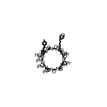 CC[C@@H]1NC(=O)[C@H]([C@H](O)[C@H](C)CCCc2ccc(C)cc2)NC(=O)[C@H](C(C)C)N(C)C(=O)[C@H](CC(C)C)N(C)C(=O)[C@H](CC(C)C)N(C)C(=O)[C@@H](C)NC(=O)[C@H](C)NC(=O)[C@H](CC(C)C)N(C)C(=O)[C@H](C(C)C)NC(=O)[C@H]([C@@H](C)OCCCCN2CCOCC2)N(C)C(=O)[C@@H](C)N(C)C1=O